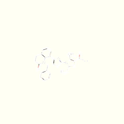 CC1=C(C(N)=O)SC(C)N1c1nc(-c2cccc3c2N(Cc2ccccc2)C(=O)CC3)cs1